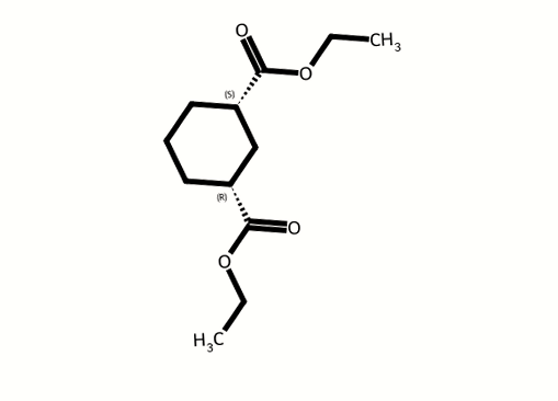 CCOC(=O)[C@@H]1CCC[C@H](C(=O)OCC)C1